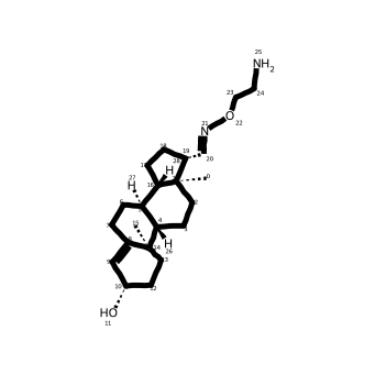 C[C@]12CC[C@H]3[C@@H](CCC4=C[C@@H](O)CC[C@@]43C)[C@@H]1CC[C@@H]2/C=N/OCCN